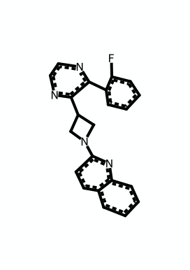 Fc1ccccc1-c1nccnc1C1CN(c2ccc3ccccc3n2)C1